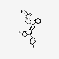 C#CC1(C(CCC=C(c2ccc(F)cc2)c2ccc(F)cc2)c2ccccc2)CCN(OC(N)=O)CC1